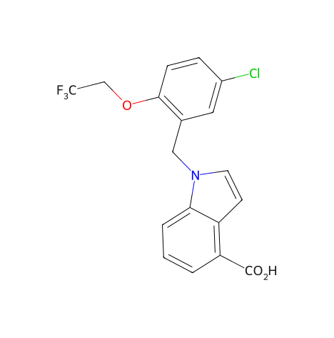 O=C(O)c1cccc2c1ccn2Cc1cc(Cl)ccc1OCC(F)(F)F